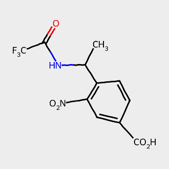 CC(NC(=O)C(F)(F)F)c1ccc(C(=O)O)cc1[N+](=O)[O-]